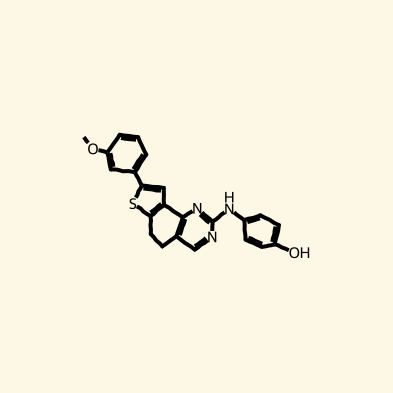 COc1cccc(-c2cc3c(s2)CCc2cnc(Nc4ccc(O)cc4)nc2-3)c1